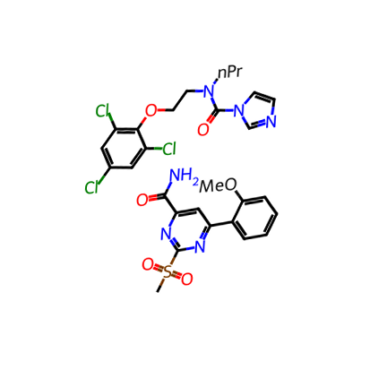 CCCN(CCOc1c(Cl)cc(Cl)cc1Cl)C(=O)n1ccnc1.COc1ccccc1-c1cc(C(N)=O)nc(S(C)(=O)=O)n1